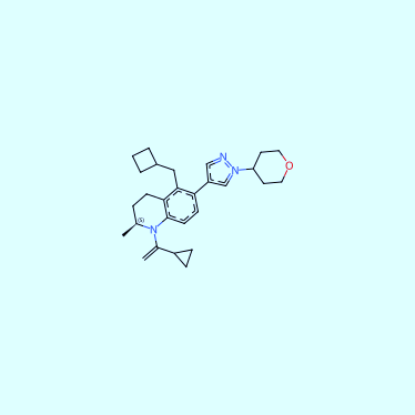 C=C(C1CC1)N1c2ccc(-c3cnn(C4CCOCC4)c3)c(CC3CCC3)c2CC[C@@H]1C